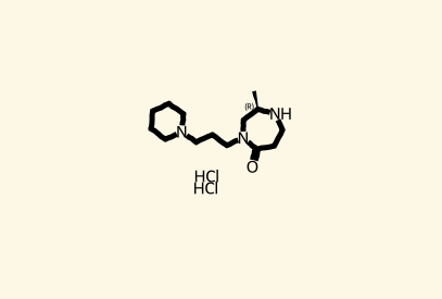 C[C@@H]1CN(CCCN2CCCCC2)C(=O)CCN1.Cl.Cl